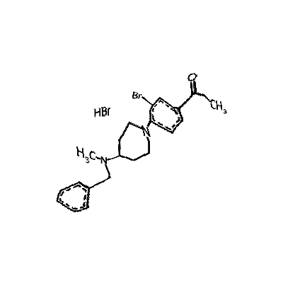 Br.CC(=O)c1ccc(N2CCC(N(C)Cc3ccccc3)CC2)c(Br)c1